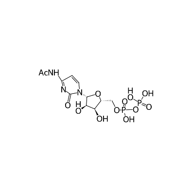 CC(=O)Nc1ccn([C@@H]2O[C@H](COP(=O)(O)OP(=O)(O)O)[C@@H](O)[C@H]2O)c(=O)n1